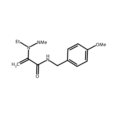 C=C(C(=O)NCc1ccc(OC)cc1)N(CC)NC